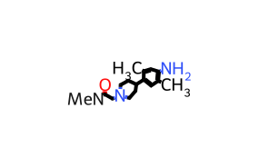 CNC(=O)CN1CCC(c2cc(C)c(N)cc2C)CC1